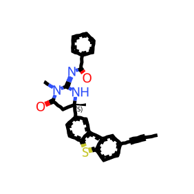 CC#Cc1ccc2sc3ccc([C@]4(C)CC(=O)N(C)C(=NC(=O)c5ccccc5)N4)cc3c2c1